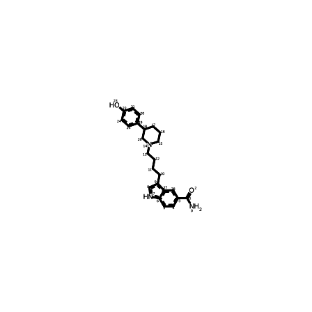 NC(=O)c1ccc2[nH]cc(CCCCN3CCCC(c4ccc(O)cc4)C3)c2c1